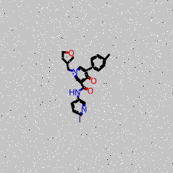 Cc1ccc(-c2cn(CC3CCOC3)cc(C(=O)Nc3ccc(I)nc3)c2=O)cc1